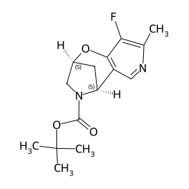 Cc1ncc2c(c1F)O[C@H]1C[C@@H]2N(C(=O)OC(C)(C)C)C1